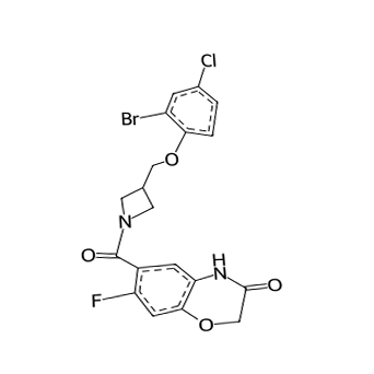 O=C1COc2cc(F)c(C(=O)N3CC(COc4ccc(Cl)cc4Br)C3)cc2N1